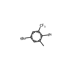 Cc1cc(C(C)(C)C)cc(C(F)(F)F)c1C(C)C